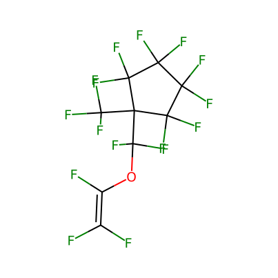 FC(F)=C(F)OC(F)(F)C1(C(F)(F)F)C(F)(F)C(F)(F)C(F)(F)C1(F)F